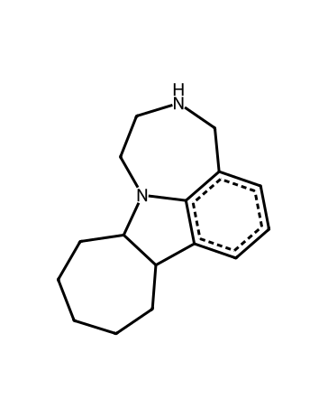 c1cc2c3c(c1)C1CCCCCC1N3CCNC2